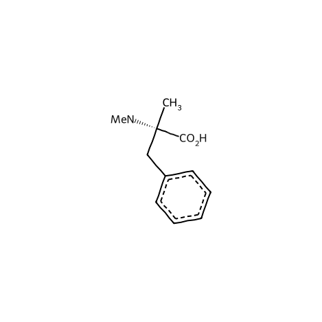 CN[C@@](C)(Cc1ccccc1)C(=O)O